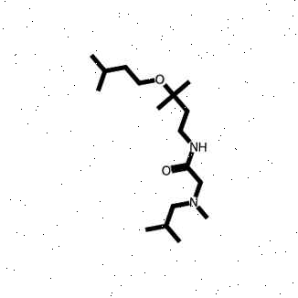 CC(C)CCOC(C)(C)CCNC(=O)CN(C)CC(C)C